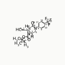 C#C[C@H]1[C@H]2C[C@H](CN(c3ccc(C(F)(F)F)cc3)C2=O)N1C(=O)OC(C)(C)C